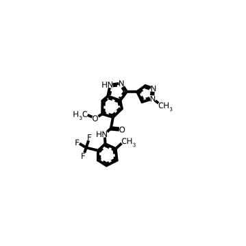 COc1cc2[nH]nc(-c3cnn(C)c3)c2cc1C(=O)Nc1c(C)cccc1C(F)(F)F